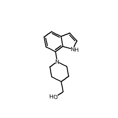 OCC1CCN(c2cccc3cc[nH]c23)CC1